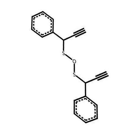 C#CC(SOSC(C#C)c1ccccc1)c1ccccc1